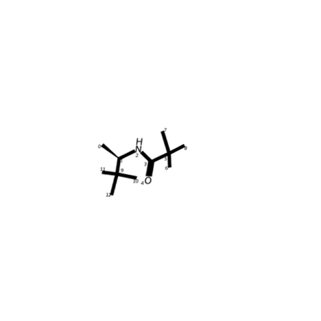 C[C@@H](NC(=O)C(C)(C)C)C(C)(C)C